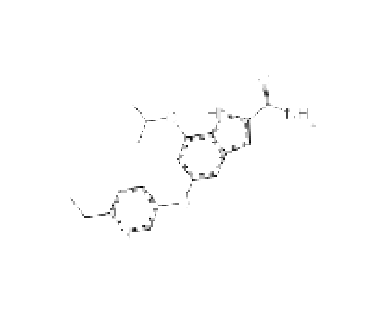 CCc1ccc(Oc2cc(OC(C)C)c3[nH]c(C(N)=O)cc3c2)cn1